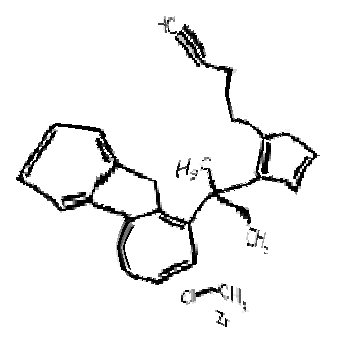 C#CCCC1=C(C(C)(C)c2cccc3c2Cc2ccccc2-3)C=CC1.CCl.[Zr]